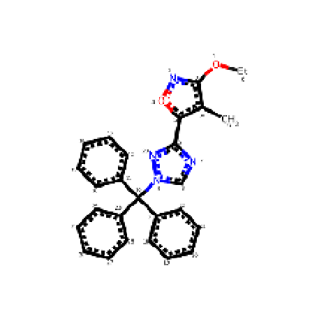 CCOc1noc(-c2ncn(C(c3ccccc3)(c3ccccc3)c3ccccc3)n2)c1C